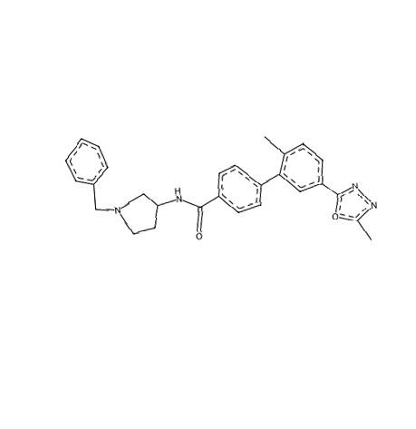 Cc1nnc(-c2ccc(C)c(-c3ccc(C(=O)NC4CCN(Cc5ccccc5)C4)cc3)c2)o1